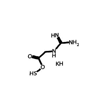 N=C(N)NCC(=O)OS.[KH]